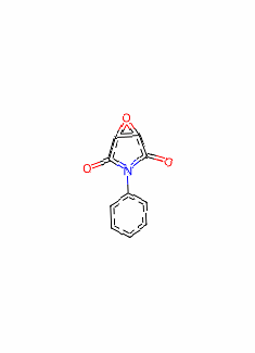 O=c1c2oc=2c(=O)n1-c1ccccc1